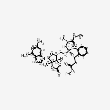 CC(C)OC(=O)CCc1ccccc1OP(=O)(N[C@@H](C)C(=O)OC(C)C)OC[C@H]1O[C@@H](n2cnc3c(N)nc(N)nc32)C2(C)OC(=O)O[C@@H]12